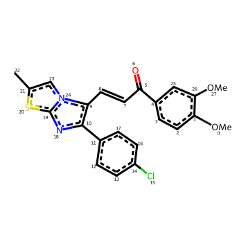 COc1ccc(C(=O)C=Cc2c(-c3ccc(Cl)cc3)nc3sc(C)cn23)cc1OC